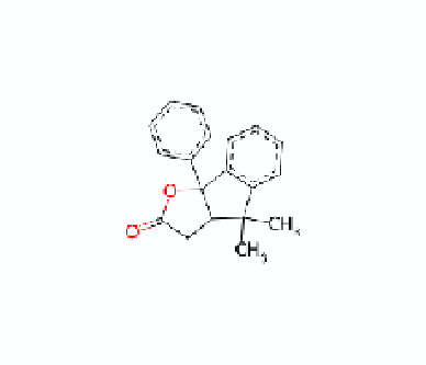 CC1(C)c2ccccc2C2(c3ccccc3)OC(=O)CC12